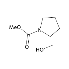 CO.COC(=O)N1CCCC1